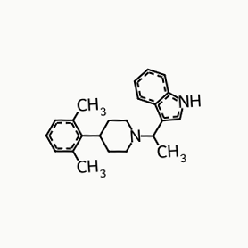 Cc1cccc(C)c1C1CCN(C(C)c2c[nH]c3ccccc23)CC1